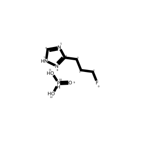 FCCCc1nc[nH]n1.O=[PH](O)O